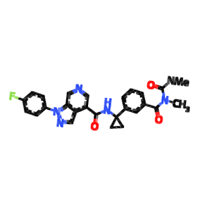 CNC(=O)N(C)C(=O)c1cccc(C2(NC(=O)c3cncc4c3cnn4-c3ccc(F)cc3)CC2)c1